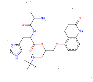 CC(N)C(=O)NC(Cc1c[nH]cn1)C(=O)OC(CNC(C)(C)C)COc1cccc2c1CCC(=O)N2